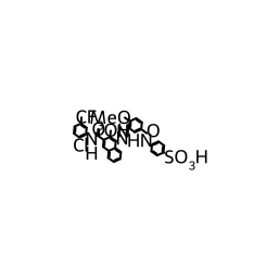 COc1ccc(C(=O)Nc2ccc(S(=O)(=O)O)cc2)cc1N=Nc1c(O)c(C(=O)Nc2cc(C(F)(F)F)ccc2Cl)cc2ccccc12